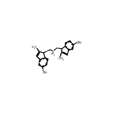 CC1=Cc2cc(C(C)(C)C)ccc2C1C[SiH2]CC1C(C)=Cc2cc(C(C)(C)C)ccc21